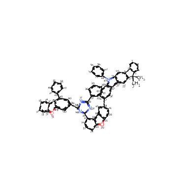 CC1(C)c2ccccc2-c2cc3c(cc21)c1cc(-c2ccc4oc5cccc(-c6nc(-c7ccccc7)nc(-c7cc(-c8ccccc8)c8c(c7)oc7ccccc78)n6)c5c4c2)ccc1n3-c1ccccc1